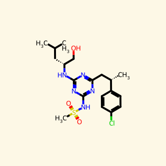 CC(C)C[C@H](CO)Nc1nc(C[C@H](C)c2ccc(Cl)cc2)nc(NS(C)(=O)=O)n1